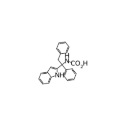 O=C(O)NC(Cc1ccccc1)(c1ccccc1)c1cc2ccccc2[nH]1